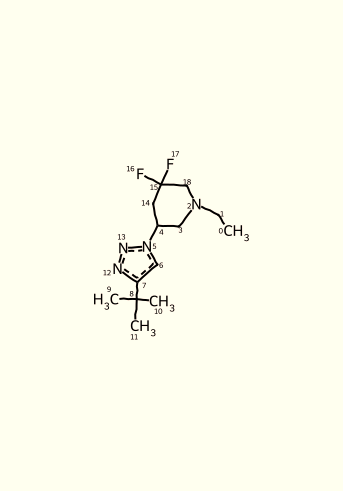 CCN1CC(n2cc(C(C)(C)C)nn2)CC(F)(F)C1